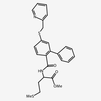 COC(=O)C(CCSC)NC(=O)c1ccc(SCc2ccccn2)cc1-c1ccccc1